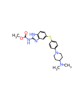 COC(=O)Nc1nc2cc(Sc3ccc(N4CCC(N(C)C)CC4)cc3)ccc2[nH]1